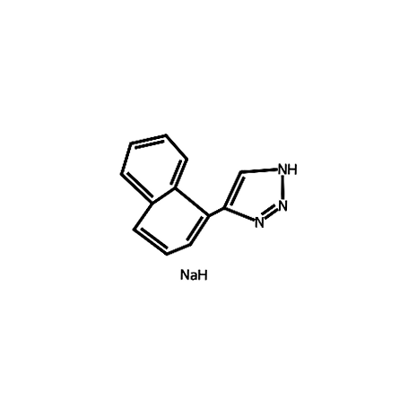 [NaH].c1ccc2c(-c3c[nH]nn3)cccc2c1